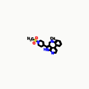 CN1Cc2c(C3=CCN(S(C)(=O)=O)CC3)[nH]c3nccc(c23)-c2ccccc21